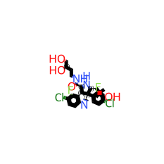 CC(C)(CO)C[C@H]1N[C@H](C(=O)NCC[C@H](O)CO)[C@@H](c2cccc(Cl)c2F)[C@]1(C#N)c1ccc(Cl)cc1F